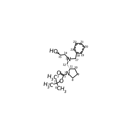 CC(C)(C)OC(=O)N1CCC[C@H]1CN(CCO)Cc1ccccc1